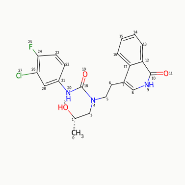 C[C@H](O)CN(CCc1c[nH]c(=O)c2ccccc12)C(=O)Nc1ccc(F)c(Cl)c1